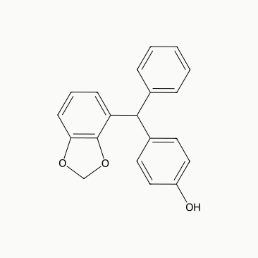 Oc1ccc(C(c2ccccc2)c2cccc3c2OCO3)cc1